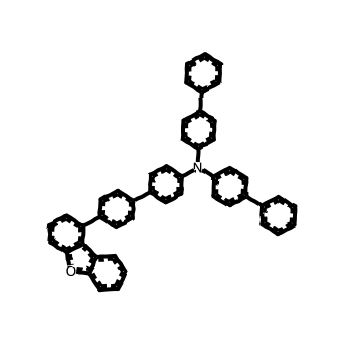 c1ccc(-c2ccc(N(c3ccc(-c4ccccc4)cc3)c3ccc(-c4ccc(-c5cccc6oc7ccccc7c56)cc4)cc3)cc2)cc1